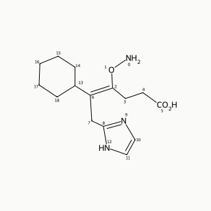 NOC(CCC(=O)O)=C(Cc1ncc[nH]1)C1CCCCC1